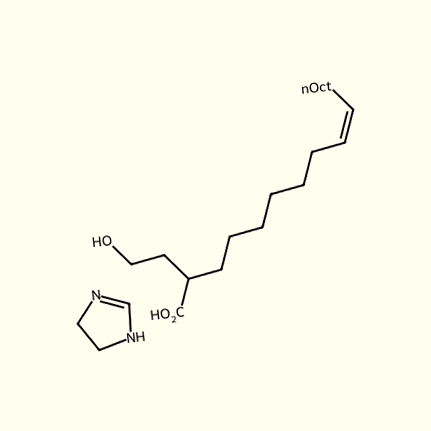 C1=NCCN1.CCCCCCCC/C=C\CCCCCCC(CCO)C(=O)O